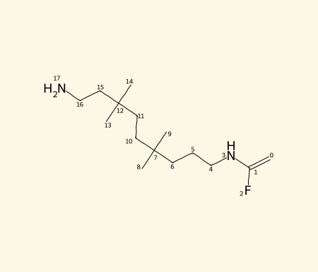 C=C(F)NCCCC(C)(C)CCC(C)(C)CCN